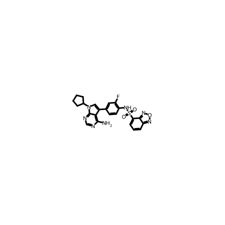 Nc1ncnc2c1c(-c1ccc(NS(=O)(=O)c3cccc4nonc34)c(F)c1)cn2C1CCCC1